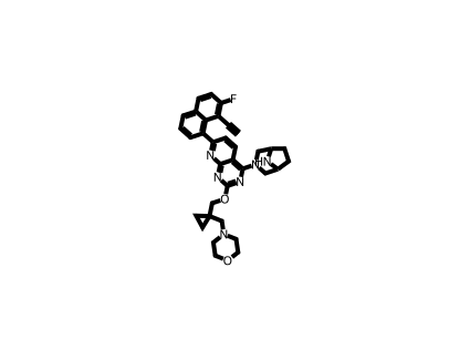 C#Cc1c(F)ccc2cccc(-c3ccc4c(N5CC6CCC(C5)N6)nc(OCC5(CN6CCOCC6)CC5)nc4n3)c12